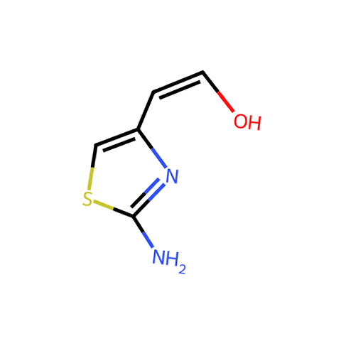 Nc1nc(/C=C\O)cs1